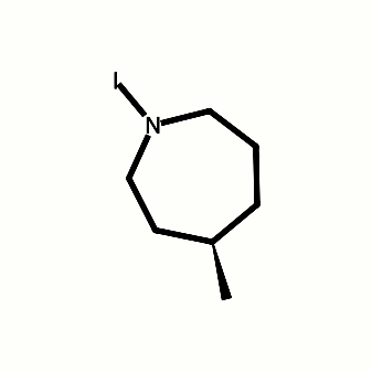 C[C@@H]1CCCN(I)CC1